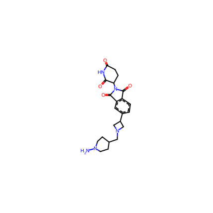 NN1CCC(CN2CC(c3ccc4c(c3)C(=O)N(C3CCC(=O)NC3=O)C4=O)C2)CC1